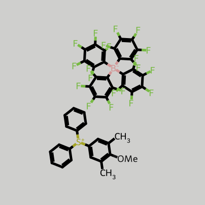 COc1c(C)cc([S+](c2ccccc2)c2ccccc2)cc1C.Fc1c(F)c(F)c([B-](c2c(F)c(F)c(F)c(F)c2F)(c2c(F)c(F)c(F)c(F)c2F)c2c(F)c(F)c(F)c(F)c2F)c(F)c1F